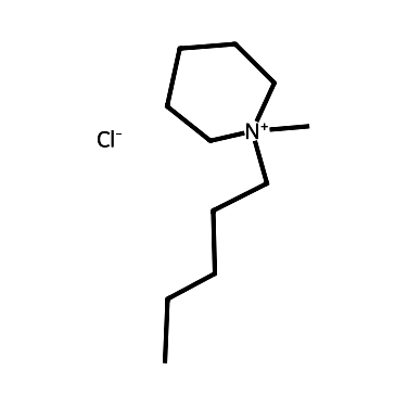 CCCCC[N+]1(C)CCCCC1.[Cl-]